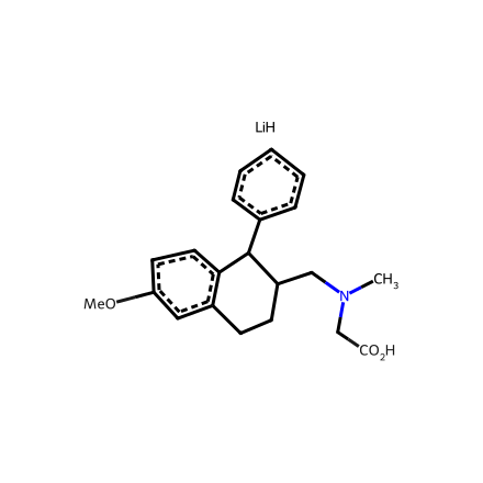 COc1ccc2c(c1)CCC(CN(C)CC(=O)O)C2c1ccccc1.[LiH]